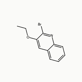 CCOc1cc2ccccc2nc1Br